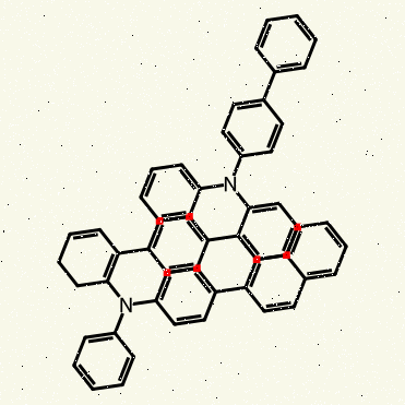 C1=CC(c2ccc(-c3ccccc3N(c3ccccc3)c3ccc(-c4ccccc4)cc3)cc2)=C(N(c2ccccc2)c2ccc(-c3ccc4ccccc4c3)cc2)CC1